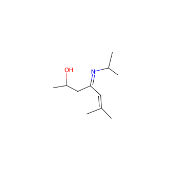 CC(C)=C/C(CC(C)O)=N\C(C)C